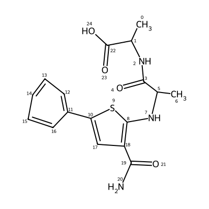 CC(NC(=O)C(C)Nc1sc(-c2ccccc2)cc1C(N)=O)C(=O)O